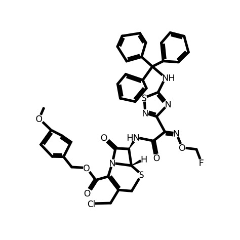 COc1ccc(COC(=O)C2=C(CCl)CS[C@H]3[C@H](NC(=O)/C(=N\OCF)c4nsc(NC(c5ccccc5)(c5ccccc5)c5ccccc5)n4)C(=O)N23)cc1